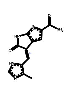 Cc1nc[nH]c1/C=C1\C(=O)Nc2sc(C(N)=O)cc21